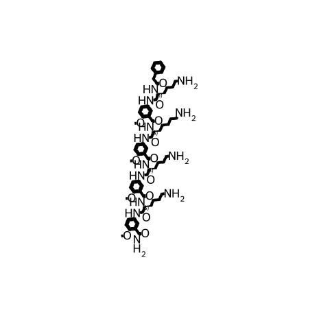 COc1ccc(NC(=O)[C@H](CCCCN)NC(=O)c2cc(NC(=O)[C@H](CCCCN)NC(=O)c3cc(NC(=O)[C@H](CCCCCN)NC(=O)c4cc(NC(=O)[C@H](CCCCN)NC(=O)Cc5ccccc5)ccc4OC)ccc3OC)ccc2OC)cc1C(N)=O